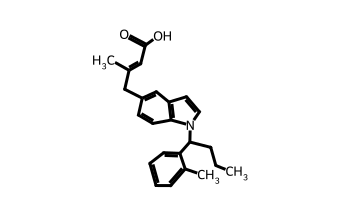 CCCC(c1ccccc1C)n1ccc2cc(CC(C)=CC(=O)O)ccc21